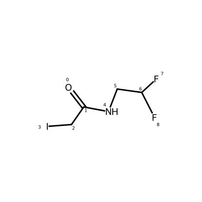 O=C(CI)NCC(F)F